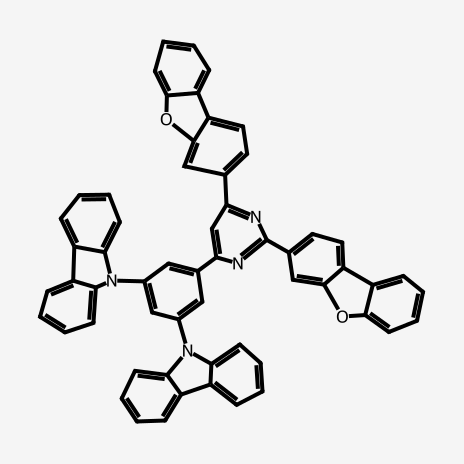 c1ccc2c(c1)oc1cc(-c3cc(-c4cc(-n5c6ccccc6c6ccccc65)cc(-n5c6ccccc6c6ccccc65)c4)nc(-c4ccc5c(c4)oc4ccccc45)n3)ccc12